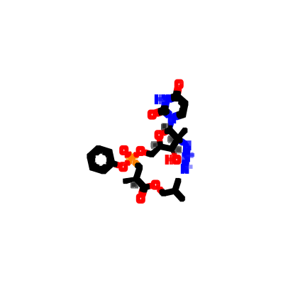 CC(C)COC(=O)[C@@H](C)CP(=O)(OC[C@H]1O[C@@H](n2ccc(=O)[nH]c2=O)[C@](C)(N=[N+]=[N-])[C@@H]1O)Oc1ccccc1